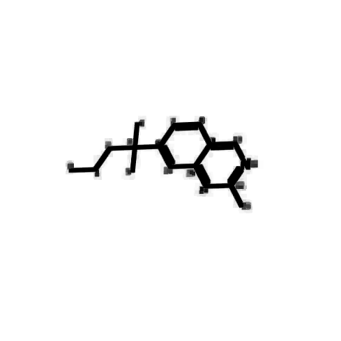 CCCC(C)(C)c1ccc2cnc(C)cc2c1